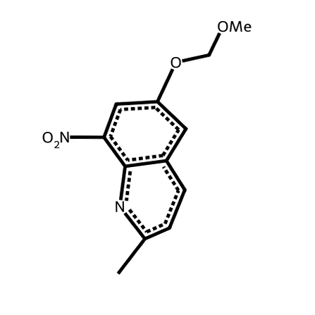 COCOc1cc([N+](=O)[O-])c2nc(C)ccc2c1